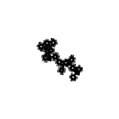 c1ccc(-c2nc3cccc4c5cc(-n6c7ccccc7c7cc8c9cc(-c%10cccc(-c%11nc%12cccc%13c%14cc(-n%15c%16ccccc%16c%16ccc%17c%18ccccc%18n(-c%18ccccc%18)c%17c%16%15)ccc%14c%11n%12%13)c%10)ccc9n(-c9ccccc9)c8cc76)ccc5c2n34)cc1